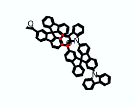 O=C(c1ccc2c(c1)C1(c3ccccc3-c3ccccc31)c1cc(C3CO3)ccc1-2)c1ccc2c(c1)C1(c3ccccc3-2)c2cc(-n3c4ccccc4c4ccccc43)ccc2-c2ccc(-n3c4ccccc4c4ccccc43)cc21